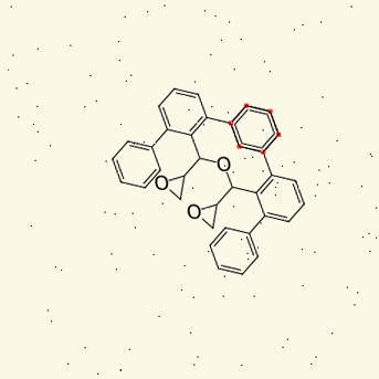 c1ccc(-c2cccc(-c3ccccc3)c2C(OC(c2c(-c3ccccc3)cccc2-c2ccccc2)C2CO2)C2CO2)cc1